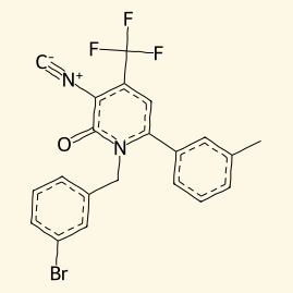 [C-]#[N+]c1c(C(F)(F)F)cc(-c2cccc(C)c2)n(Cc2cccc(Br)c2)c1=O